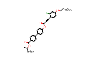 CCCCCCCCCCCCOc1ccc(C#CC(=O)Oc2ccc(-c3ccc(C(=O)OC(C)CCCCCC)cc3)cc2)c(F)c1